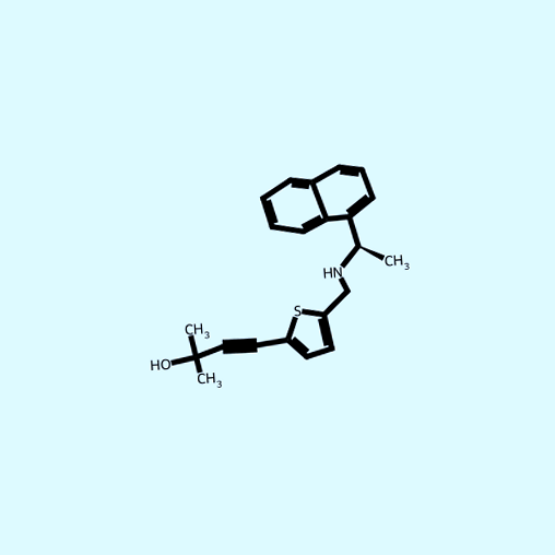 C[C@@H](NCc1ccc(C#CC(C)(C)O)s1)c1cccc2ccccc12